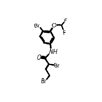 O=C(Nc1ccc(Br)c(OC(F)F)c1)C(Br)CCBr